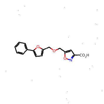 O=C(O)c1cc(COCc2ccc(-c3ccccc3)o2)on1